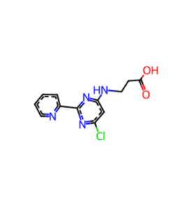 O=C(O)CCNc1cc(Cl)nc(-c2ccccn2)n1